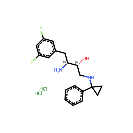 Cl.Cl.N[C@@H](Cc1cc(F)cc(F)c1)[C@H](O)CNC1(c2ccccc2)CC1